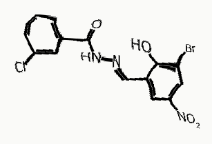 O=C(N/N=C/c1cc([N+](=O)[O-])cc(Br)c1O)c1cccc(Cl)c1